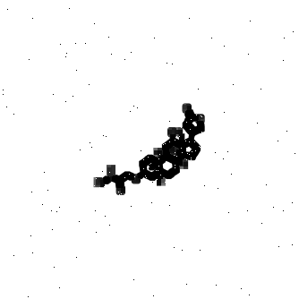 CC(C)NC(=O)CO[C@H]1CC[C@@]2(C)[C@H](CC[C@@H]3[C@@H]2C[C@@H](O)[C@]2(C)[C@@H](C4=CC(=O)OC4)CC[C@]32O)C1